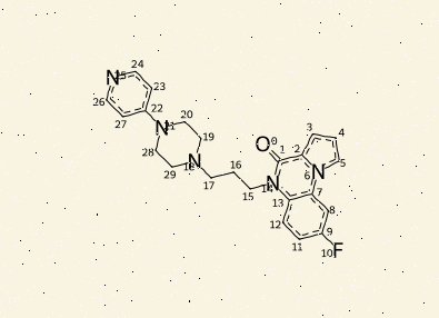 O=c1c2cccn2c2cc(F)ccc2n1CCCN1CCN(c2ccncc2)CC1